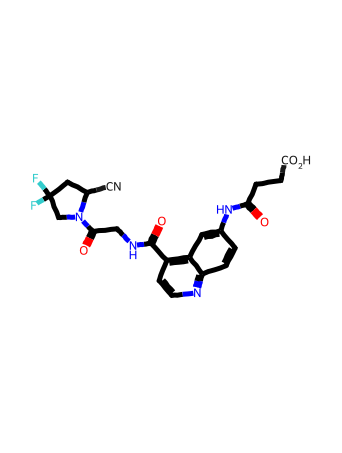 N#CC1CC(F)(F)CN1C(=O)CNC(=O)c1ccnc2ccc(NC(=O)CCC(=O)O)cc12